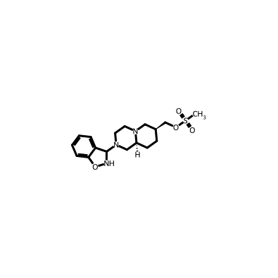 CS(=O)(=O)OC[C@H]1CC[C@H]2CN(C3NOc4ccccc43)CCN2C1